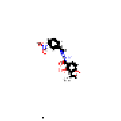 Cc1coc2ccc(C(=O)N/N=C/c3cccc([N+](=O)[O-])c3)c(O)c12